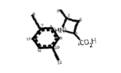 CC1CC(C(=O)O)N1.Cc1ccc(C)cc1